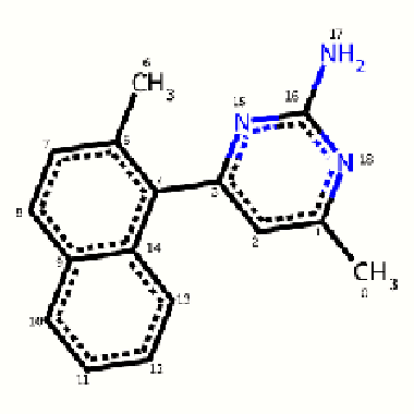 Cc1cc(-c2c(C)ccc3ccccc23)nc(N)n1